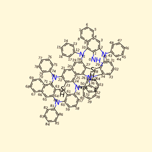 Nc1c2cc3ccccc3c1N(c1ccccc1)c1cc3cc4c5c(c3c3c1[SiH2]c1c(cccc1N3c1ccccc1)N2c1ccccc1)N(c1ccccc1)c1cccc2c1[SiH]5c1c(cc3ccccc3c1N4c1ccccc1)N2c1ccccc1